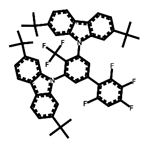 CC(C)(C)c1ccc2c3ccc(C(C)(C)C)cc3n(-c3cc(-c4c(F)cc(F)c(F)c4F)cc(-n4c5cc(C(C)(C)C)ccc5c5ccc(C(C)(C)C)cc54)c3C(F)(F)F)c2c1